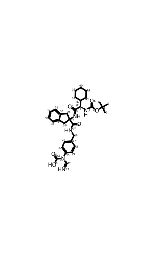 CC(C)(C)OC(=O)N[C@@H](C(=O)NC1(C(=O)NCc2ccc(N(C=N)C(=O)O)cc2)Cc2ccccc2C1)C1CCCCC1